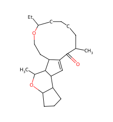 CCC1CCCCC(C)C(=O)C2=CC3C4CCCC4OC(C)C3C2CCO1